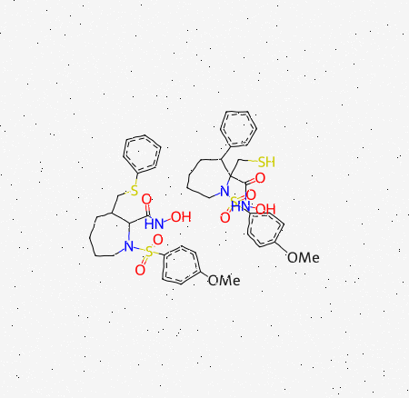 COc1ccc(S(=O)(=O)N2CCCCC(CSc3ccccc3)C2C(=O)NO)cc1.COc1ccc(S(=O)(=O)N2CCCCC(c3ccccc3)C2(CS)C(=O)NO)cc1